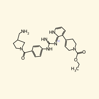 CCOC(=O)N1CC=C(c2ccc[nH]/c2=N\C(=N)Nc2ccc(C(=O)N3CCC(CN)C3)cc2)CC1